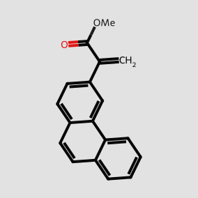 C=C(C(=O)OC)c1ccc2ccc3ccccc3c2c1